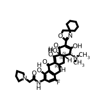 CN(C)[C@@H]1C(O)=C(C2=NC3(CCCCC3)CO2)C(=O)[C@@]2(O)C(O)=C3C(=O)c4c(O)c(NC(=O)CN5CCCC5)cc(F)c4C[C@H]3C[C@@H]12